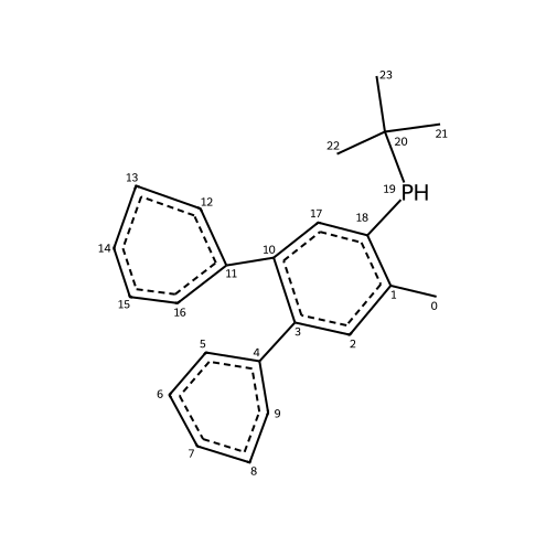 Cc1cc(-c2ccccc2)c(-c2ccccc2)cc1PC(C)(C)C